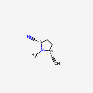 C#C[C@H]1CC[C@@H](C#N)N1C